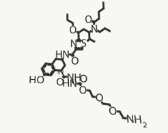 CCCCC(=O)N(CCC)C(CC(OCCC)c1nc(C(=O)NC2Cc3ccc(O)cc3[C@H](C(=O)NNC(=O)OCCOCCOCCN)C2)cs1)C(C)C